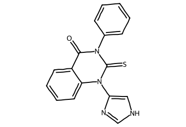 O=c1c2ccccc2n(-c2c[nH]cn2)c(=S)n1-c1ccccc1